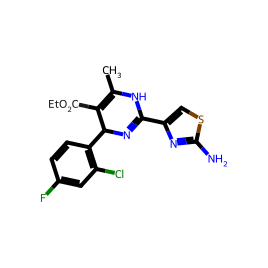 CCOC(=O)C1=C(C)NC(c2csc(N)n2)=NC1c1ccc(F)cc1Cl